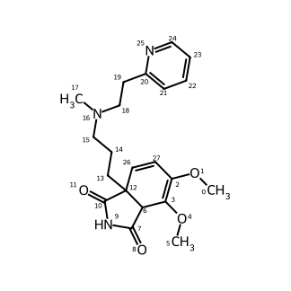 COC1=C(OC)C2C(=O)NC(=O)C2(CCCN(C)CCc2ccccn2)C=C1